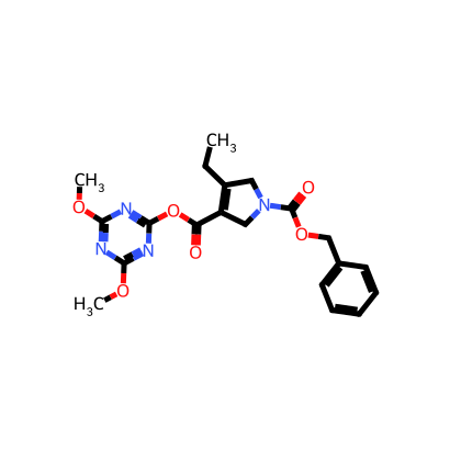 CCC1=C(C(=O)Oc2nc(OC)nc(OC)n2)CN(C(=O)OCc2ccccc2)C1